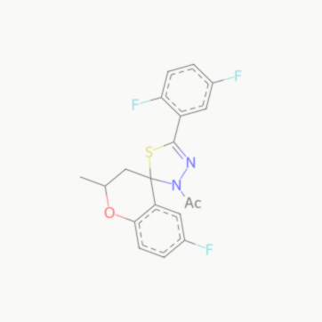 CC(=O)N1N=C(c2cc(F)ccc2F)SC12CC(C)Oc1ccc(F)cc12